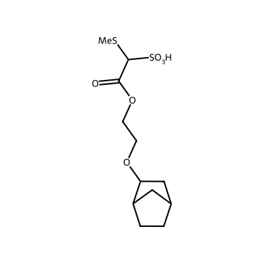 CSC(C(=O)OCCOC1CC2CCC1C2)S(=O)(=O)O